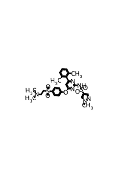 Cc1cccc(C)c1-c1cc(Oc2ccc(S(=O)(=O)CCN(C)C)cc2)nc(NS(=O)(=O)c2cnn(C)c2)n1